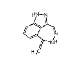 C=c1[nH]ncc2n[nH]c3cccc1c23